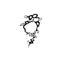 CO[C@H]1/C=C/C[C@H](C)C[S@@](=O)(NC(=O)N2CC3(C2)CC3(F)F)=NC(=O)c2ccc3c(c2)N(C[C@@H]2CC[C@H]21)C[C@@]1(CCCc2cc(Cl)ccc21)CO3